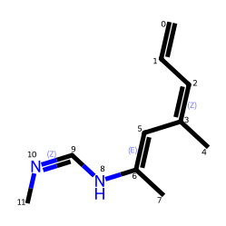 C=C/C=C(C)\C=C(/C)N/C=N\C